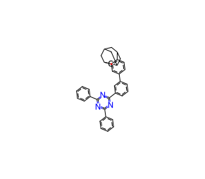 c1ccc(-c2nc(-c3ccccc3)nc(-c3cccc(-c4ccc5c(c4)C4CC6CC(CC5C6)C4)c3)n2)cc1